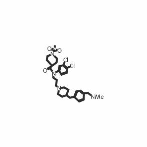 CNCc1ccc(CC2CCN(CCCN(C(=O)C3CCN(S(C)(=O)=O)CC3)c3ccc(Cl)c(Cl)c3)CC2)cc1